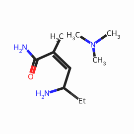 CCC(N)C=C(C)C(N)=O.CN(C)C